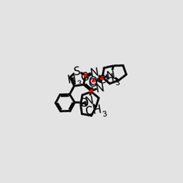 COc1ccccc1-c1csc2nc(N3C4CCC3CC(OC)C4)nc(N3C4CCC3CC(OC)C4)c12